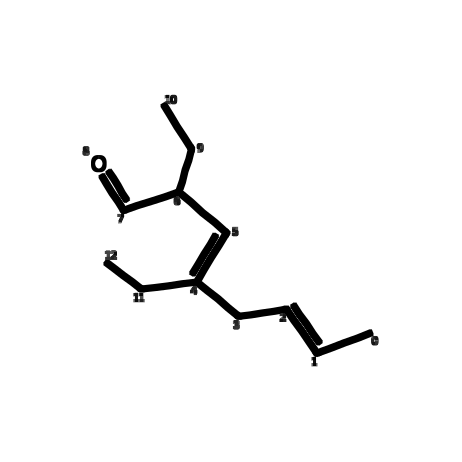 CC=CCC(=CC(C=O)CC)CC